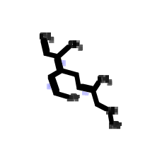 C=C/C(C)=C(\C=C/CCC)C/C=C(\C)CNCCC